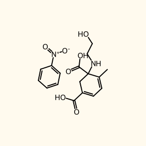 CC1=CC=C(C(=O)O)CC1(NCCO)C(=O)O.O=[N+]([O-])c1ccccc1